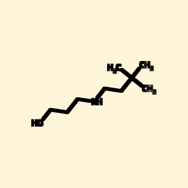 CC(C)(C)CCNCCCO